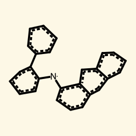 c1ccc(-c2ccccc2[N]c2cccc3cc4ccccc4cc23)cc1